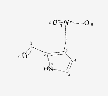 O=Cc1[nH]ccc1[N+](=O)[O-]